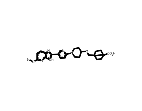 CCOc1ccc2nc(-c3ccc(N4CCC(OCC56CCC(C(=O)O)(CC5)CC6)CC4)nc3)[nH]c2n1